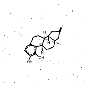 C[C@]12CC[C@@H]3c4c(ccc(O)c4O)CC[C@H]3[C@@H]1CC(=O)C2